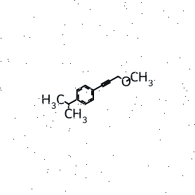 COCC#Cc1ccc(C(C)C)cc1